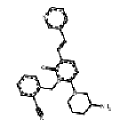 N#Cc1ccccc1Cn1c(N2CCCC(N)C2)ccc(/C=C/c2cccnc2)c1=O